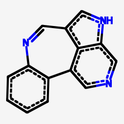 C1=Nc2ccccc2-c2cncc3[nH]cc1c23